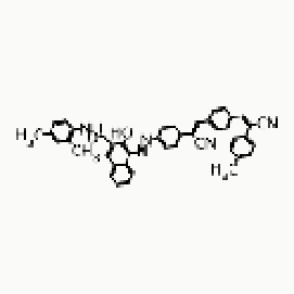 Cc1ccc(C(C#N)=Cc2ccc(C=C(C#N)c3ccc(N=Nc4c(O)c(CONc5ccc(C)cc5C)cc5ccccc45)cc3)cc2)cc1